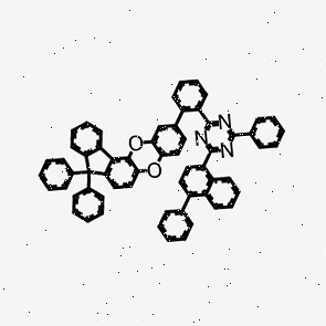 c1ccc(-c2nc(-c3ccccc3-c3ccc4c(c3)Oc3c(ccc5c3-c3ccccc3C5(c3ccccc3)c3ccccc3)O4)nc(-c3ccc(-c4ccccc4)c4ccccc34)n2)cc1